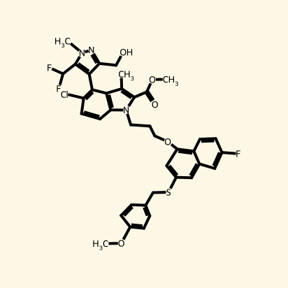 COC(=O)c1c(C)c2c(-c3c(CO)nn(C)c3C(F)F)c(Cl)ccc2n1CCCOc1cc(SCc2ccc(OC)cc2)cc2cc(F)ccc12